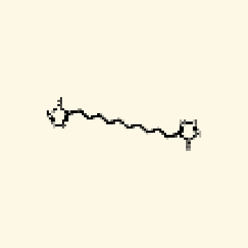 C(CCCCCc1nnn[nH]1)CCCCc1nnn[nH]1